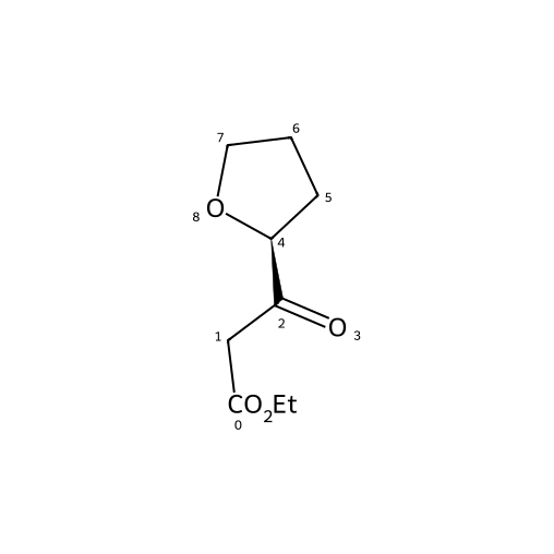 CCOC(=O)CC(=O)[C@@H]1CCCO1